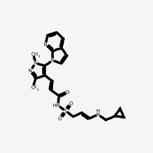 Cn1nc(C(F)(F)F)c(/C=C/C(=O)NS(=O)(=O)CC=CNCC2CC2)c1-n1ccc2cccnc21